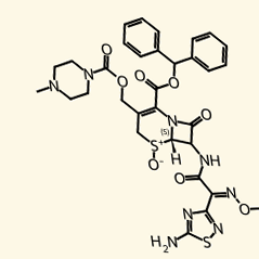 CON=C(C(=O)NC1C(=O)N2C(C(=O)OC(c3ccccc3)c3ccccc3)=C(COC(=O)N3CCN(C)CC3)C[S+]([O-])[C@@H]12)c1nsc(N)n1